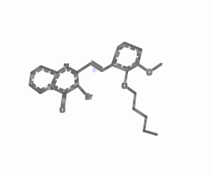 CCCCCOc1c(/C=C/c2nc3ccccn3c(=O)c2Br)cccc1OC